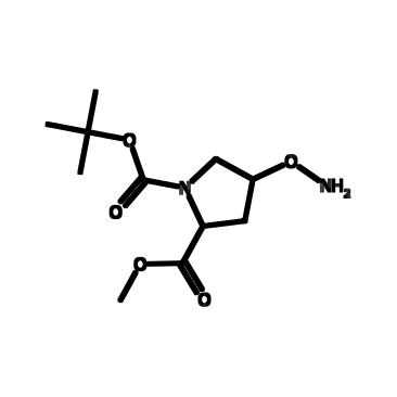 COC(=O)C1CC(ON)CN1C(=O)OC(C)(C)C